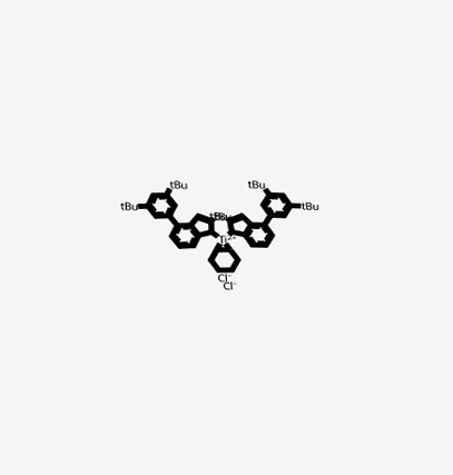 CC(C)(C)C1=Cc2c(-c3cc(C(C)(C)C)cc(C(C)(C)C)c3)cccc2[CH]1[Ti+2]1([CH]2C(C(C)(C)C)=Cc3c(-c4cc(C(C)(C)C)cc(C(C)(C)C)c4)cccc32)[CH]2CCCC[CH]21.[Cl-].[Cl-]